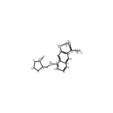 CC(C)Oc1cc2c(OCC3CCCN3C)nccc2cc1C(N)=O